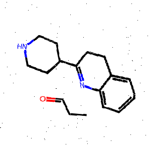 CCC=O.c1ccc2c(c1)CCC(C1CCNCC1)=N2